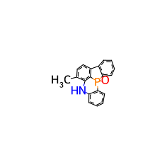 Cc1ccc2c3c1Nc1ccccc1P3(=O)c1ccccc1-2